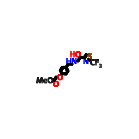 COC(=O)COc1ccc(CCNCC(O)c2csc(C(F)(F)F)n2)cc1